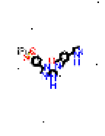 CC(C)S(=O)(=O)c1ccc(-c2cnc3[nH]cc(N4Cc5cc(-c6ccn[nH]6)ccc5C4=O)c3n2)cc1